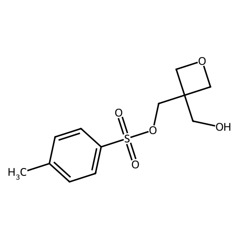 Cc1ccc(S(=O)(=O)OCC2(CO)COC2)cc1